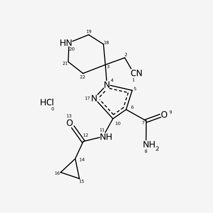 Cl.N#CCC1(n2cc(C(N)=O)c(NC(=O)C3CC3)n2)CCNCC1